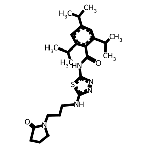 CC(C)c1cc(C(C)C)c(C(=O)Nc2nnc(NCCCN3CCCC3=O)s2)c(C(C)C)c1